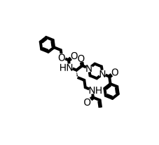 C=CC(=O)NCCC[C@H](NC(=O)OCc1ccccc1)C(=O)N1CCN(C(=O)c2ccccc2)CC1